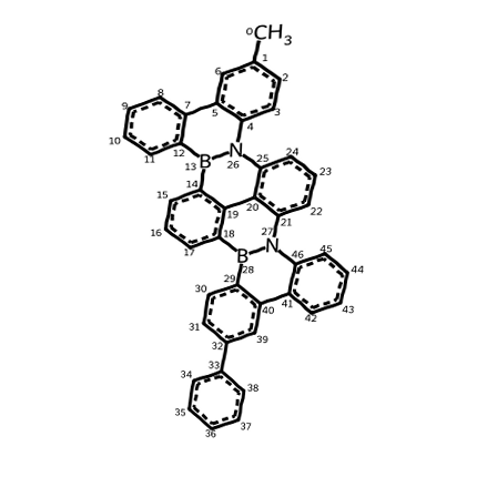 Cc1ccc2c(c1)-c1ccccc1B1c3cccc4c3-c3c(cccc3N12)N1B4c2ccc(-c3ccccc3)cc2-c2ccccc21